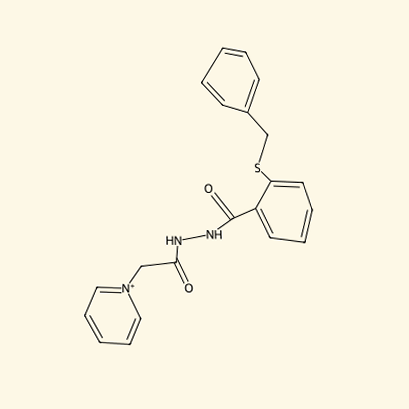 O=C(C[n+]1ccccc1)NNC(=O)c1ccccc1SCc1ccccc1